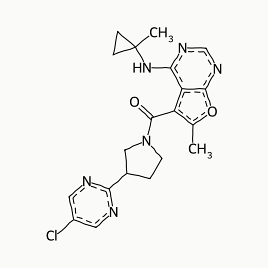 Cc1oc2ncnc(NC3(C)CC3)c2c1C(=O)N1CCC(c2ncc(Cl)cn2)C1